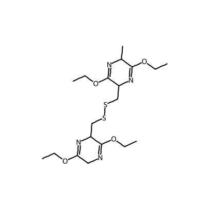 CCOC1=NC(CSSCC2N=C(OCC)C(C)N=C2OCC)C(OCC)=NC1